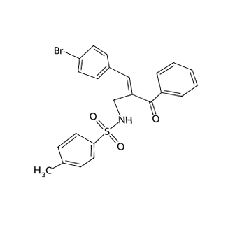 Cc1ccc(S(=O)(=O)NC/C(=C\c2ccc(Br)cc2)C(=O)c2ccccc2)cc1